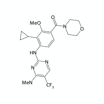 CNc1nc(Nc2ccc(C(=O)N3CCOCC3)c(OC)c2C2CC2)ncc1C(F)(F)F